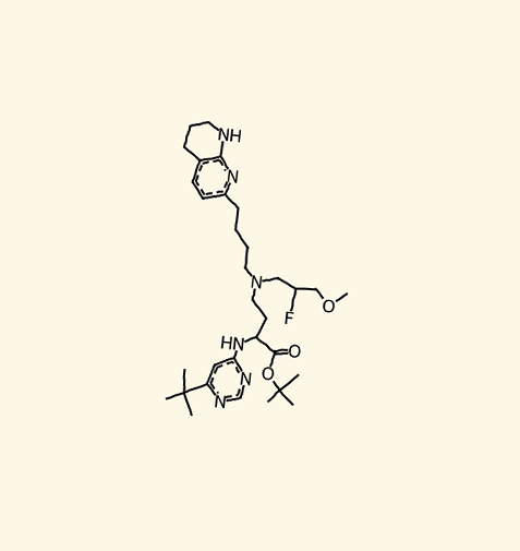 COCC(F)CN(CCCCc1ccc2c(n1)NCCC2)CCC(Nc1cc(C(C)(C)C)ncn1)C(=O)OC(C)(C)C